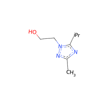 Cc1nc(C(C)C)n(CCO)n1